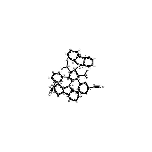 CC(C)c1c(-c2cccc(C#N)c2)c(-n2c3ccccc3c3ccccc32)c(-c2cccc(C#N)c2)c(C(C)C)c1-n1c2ccccc2c2ccccc21